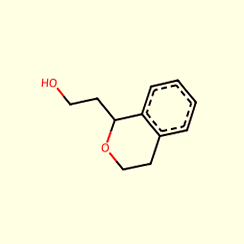 OCCC1OCCc2ccccc21